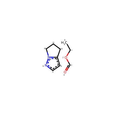 CCOC=O.c1cc2n(n1)CCC2